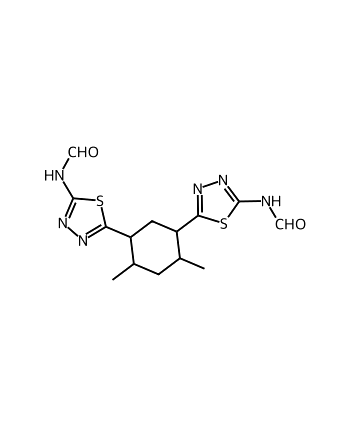 CC1CC(C)C(c2nnc(NC=O)s2)CC1c1nnc(NC=O)s1